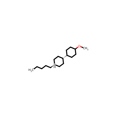 CCCCC[Si@H]1CC[C@H](C2CCC(OC)CC2)CC1